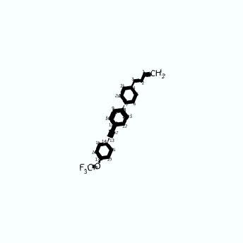 C=CCC[C@H]1CC[C@H](c2ccc(C#C[C@H]3CC[C@H](OC(F)(F)F)CC3)cc2)CC1